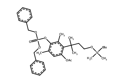 CC(=O)Oc1cc(C)c(OP(=O)(OCc2ccccc2)OCc2ccccc2)c(C)c1C(C)(C)CCO[Si](C)(C)C(C)(C)C